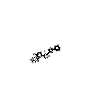 N=C(NC(=O)c1csc(-c2ccccc2)n1)[C@@H]1CC[C@@H]2CN1C(=O)N2OS(=O)(=O)O